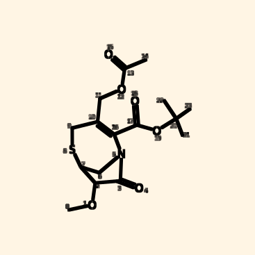 COC1C(=O)N2CC1SCC(COC(C)=O)=C2C(=O)OC(C)(C)C